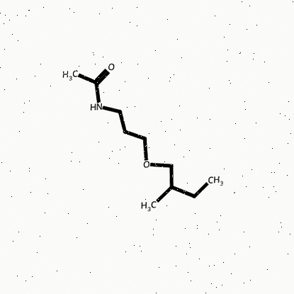 CCC(C)COCCCNC(C)=O